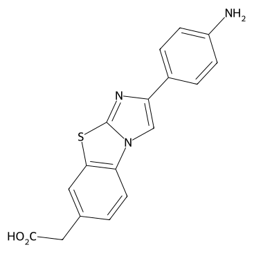 Nc1ccc(-c2cn3c(n2)sc2cc(CC(=O)O)ccc23)cc1